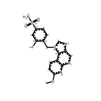 COc1ccc2c(ncc3ncn(Cc4ccc(S(N)(=O)=O)cc4F)c32)n1